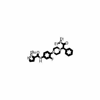 CCN(CC)C(=O)C(c1ccccc1)N1CCN(c2ccc(NC(=O)c3ccnn3C(C)(C)C)cc2F)CC1